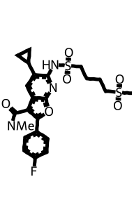 CNC(=O)c1c(-c2ccc(F)cc2)oc2nc(NS(=O)(=O)CCCCS(C)(=O)=O)c(C3CC3)cc12